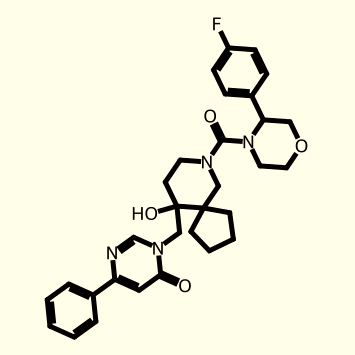 O=C(N1CCC(O)(Cn2cnc(-c3ccccc3)cc2=O)C2(CCCC2)C1)N1CCOCC1c1ccc(F)cc1